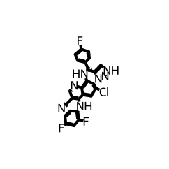 N#Cc1cnc2c(N[C@@H](c3ccc(F)cc3)c3c[nH]nn3)cc(Cl)cc2c1Nc1ccc(F)cc1F